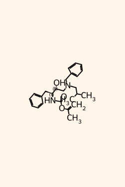 C=C(C)OC(=O)N[C@@H](Cc1ccccc1)[C@H](O)CN(Cc1ccccc1)CC(C)C